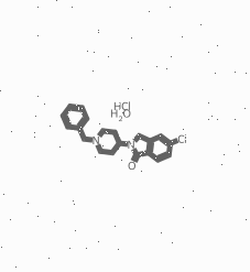 Cl.O.O=C1c2ccc(Cl)cc2CN1C1CCN(Cc2ccccc2)CC1